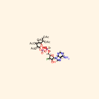 CC(=O)OC[C@@H](OC(C)=O)C1O[C@@H](OP(=O)(O)OP(O)(=S)OC[C@H]2O[C@@H](n3cnc4c(N)ncnc43)C(O)C2F)C(OC(C)=O)C(OC(C)=O)[C@@H]1OC(C)=O